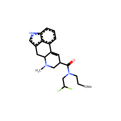 COCCN(CC(F)F)C(=O)C1C=C2c3cccc4[nH]cc(c34)CC2N(C)C1